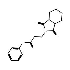 O=C(CCN1C(=O)C2CCCCC2C1=O)Oc1ccccc1